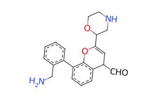 NCc1ccccc1-c1cccc2c1OC(C1CNCCO1)=CC2C=O